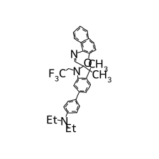 CCN(CC)c1ccc(-c2ccc3c(c2)N(CC(F)(F)F)C2(C=Nc4c(ccc5ccccc45)O2)C3(C)C)cc1